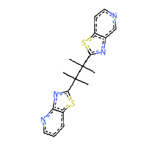 CC(C)(c1nc2cnccc2s1)C(C)(C)c1nc2ncccc2s1